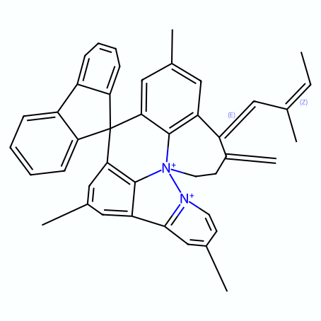 C=C1CC[N+]23c4c(cc(C)cc4C4(c5ccccc5-c5ccccc54)c4cc(C)cc(c42)-c2cc(C)cc[n+]23)/C1=C/C(C)=C\C